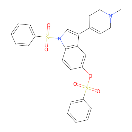 CN1CC=C(c2cn(S(=O)(=O)c3ccccc3)c3ccc(OS(=O)(=O)c4ccccc4)cc23)CC1